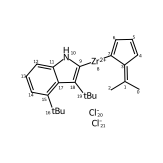 CC(C)=C1C=CC=[C]1[Zr+2][c]1[nH]c2cccc(C(C)(C)C)c2c1C(C)(C)C.[Cl-].[Cl-]